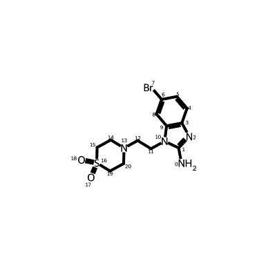 Nc1nc2ccc(Br)cc2n1CCN1CCS(=O)(=O)CC1